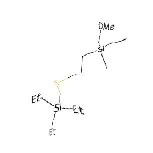 CC[Si](CC)(CC)SCC[Si](C)(C)OC